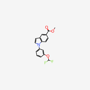 COC(=O)c1ccc2c(ccn2-c2cccc(OC(F)F)c2)c1